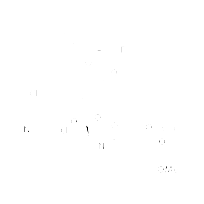 COc1ccc(C(=O)N2CCC[C@H]2C(=O)OC(Cc2c(Cl)cncc2Cl)c2ccc(OC(F)F)c(OCC3CC3)c2)cc1OS(C)(=O)=O